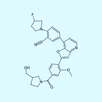 COc1cc(C(=O)N2CCC(CO)C2)ccc1-c1cc2nccc(-c3ccc(N4CCC(F)C4)c(C#N)c3)c2o1